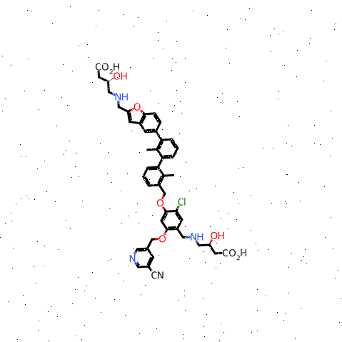 Cc1c(COc2cc(OCc3cncc(C#N)c3)c(CNC[C@@H](O)CC(=O)O)cc2Cl)cccc1-c1cccc(-c2ccc3oc(CNC[C@@H](O)CC(=O)O)cc3c2)c1C